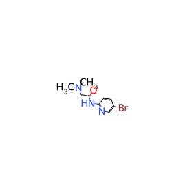 CN(C)CC(=O)Nc1ccc(Br)cn1